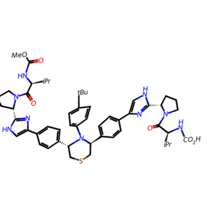 COC(=O)N[C@H](C(=O)N1CCC[C@H]1c1nc(-c2ccc([C@H]3CSC[C@H](c4ccc(-c5c[nH]c([C@@H]6CCCN6C(=O)[C@@H](NC(=O)O)C(C)C)n5)cc4)N3c3ccc(C(C)(C)C)cc3)cc2)c[nH]1)C(C)C